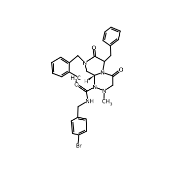 Cc1ccccc1CN1C[C@@H]2N(C(=O)CN(C)N2C(=O)NCc2ccc(Br)cc2)C(Cc2ccccc2)C1=O